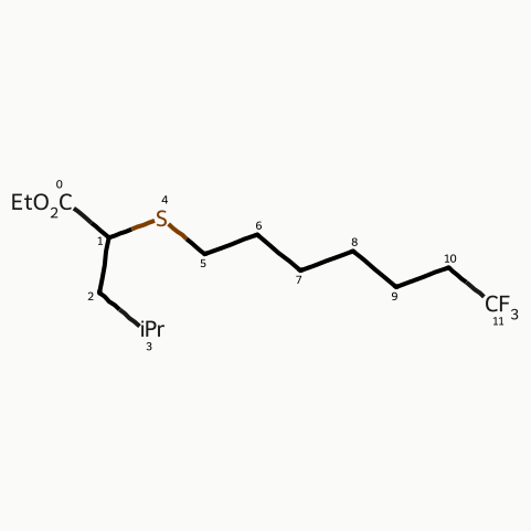 CCOC(=O)C(CC(C)C)SCCCCCCC(F)(F)F